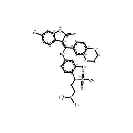 CN(C)CCN(c1ccc(NC(=C2C(=O)Nc3cc(Cl)ccc32)c2ccc3c(c2)OCCO3)cc1F)S(C)(=O)=O